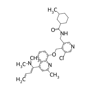 C=C/C=C(/c1cc(C)nc2c(OCc3c(Cl)cncc3CNC(=O)C3CCCC(C)C3)cccc12)N(C)C